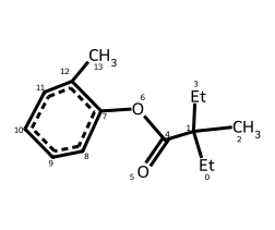 CCC(C)(CC)C(=O)Oc1ccccc1C